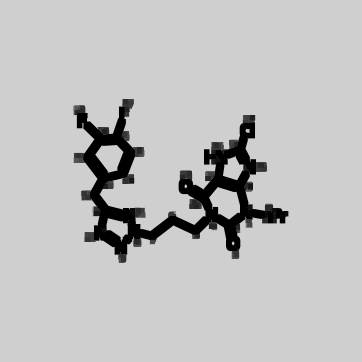 CCCn1c(=O)n(CCCn2nnc(Cc3ccc(F)c(F)c3)n2)c(=O)c2[nH]c(Cl)nc21